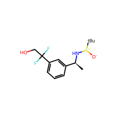 C[C@H](N[S+]([O-])C(C)(C)C)c1cccc(C(F)(F)CO)c1